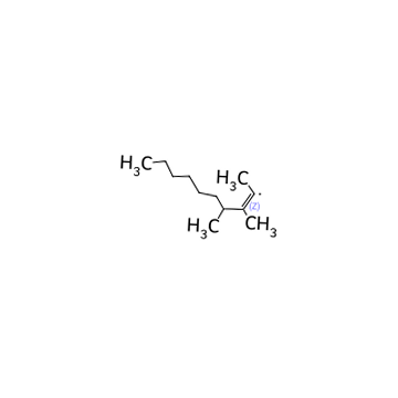 C/[C]=C(/C)C(C)CCCCCC